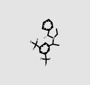 CCN(C(C)c1cc(C(F)(F)F)cc(C(F)(F)F)c1)[C@H](C)c1ccccc1